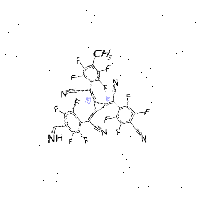 Cc1c(F)c(F)c(/C(C#N)=C2/C(=C(C#N)c3c(F)c(F)c(C=N)c(F)c3F)/C2=C(/C#N)c2c(F)c(F)c(C#N)c(F)c2F)c(F)c1F